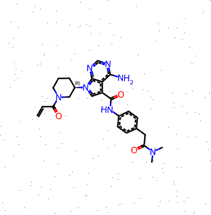 C=CC(=O)N1CCC[C@@H](n2cc(C(=O)Nc3ccc(CC(=O)N(C)C)cc3)c3c(N)ncnc32)C1